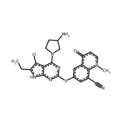 CCc1[nH]c2nc(Sc3cc(C#N)c4c(c3)c(=O)ccn4C)nc(N3CCC(N)C3)c2c1Cl